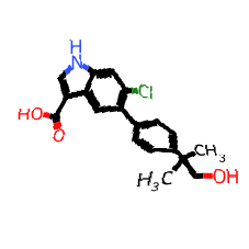 CC(C)(CO)c1ccc(-c2cc3c(C(=O)O)c[nH]c3cc2Cl)cc1